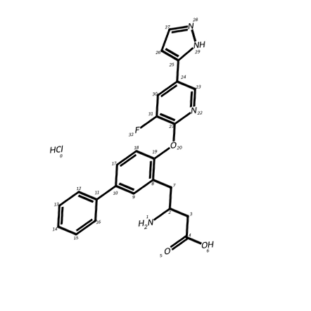 Cl.NC(CC(=O)O)Cc1cc(-c2ccccc2)ccc1Oc1ncc(-c2ccn[nH]2)cc1F